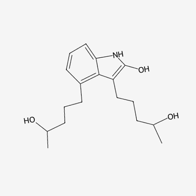 CC(O)CCCc1cccc2[nH]c(O)c(CCCC(C)O)c12